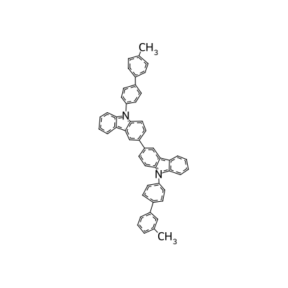 Cc1ccc(-c2ccc(-n3c4ccccc4c4cc(-c5ccc6c(c5)c5ccccc5n6-c5ccc(-c6cccc(C)c6)cc5)ccc43)cc2)cc1